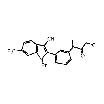 CCn1c(-c2cccc(NC(=O)CCl)c2)c(C#N)c2ccc(C(F)(F)F)cc21